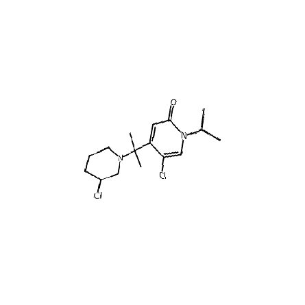 CC(C)n1cc(Cl)c(C(C)(C)N2CCCC(Cl)C2)cc1=O